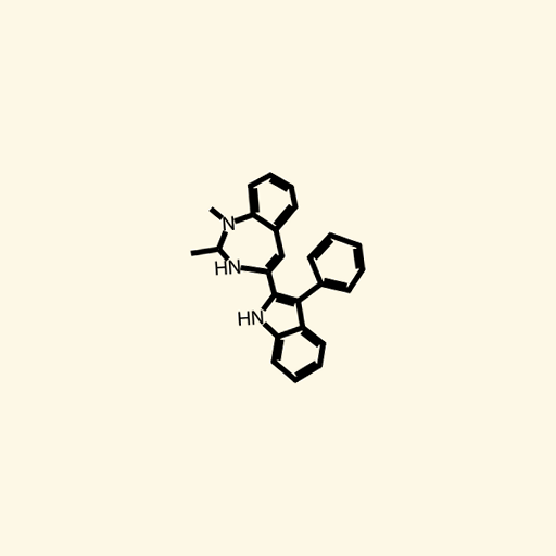 CC1NC(c2[nH]c3ccccc3c2-c2ccccc2)=Cc2ccccc2N1C